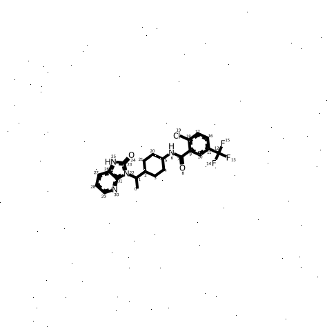 CC(C1CCC(NC(=O)c2cc(C(F)(F)F)ccc2Cl)CC1)n1c(=O)[nH]c2cccnc21